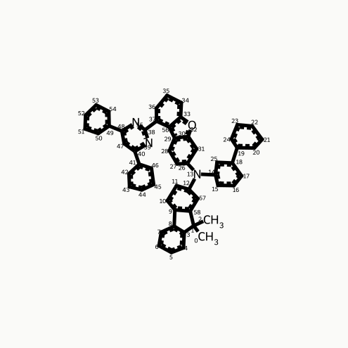 CC1(C)c2ccccc2-c2ccc(N(c3cccc(-c4ccccc4)c3)c3ccc4c(c3)oc3cccc(-c5nc(-c6ccccc6)cc(-c6ccccc6)n5)c34)cc21